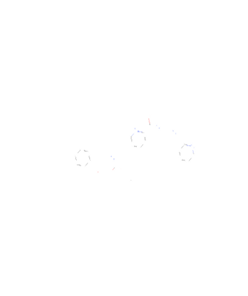 CC(C)(C)OC(=O)N(CCc1ccc(C(=O)N2CCN(Cc3ccccn3)CC2)nc1)CC(O)c1ccccc1